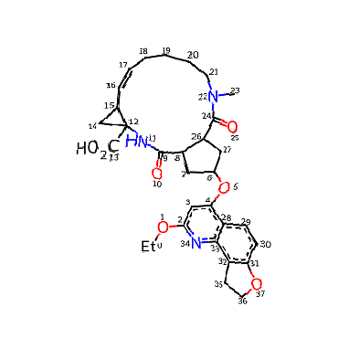 CCOc1cc(OC2CC3C(=O)NC4(C(=O)O)CC4C=CCCCCN(C)C(=O)C3C2)c2ccc3c(c2n1)CCO3